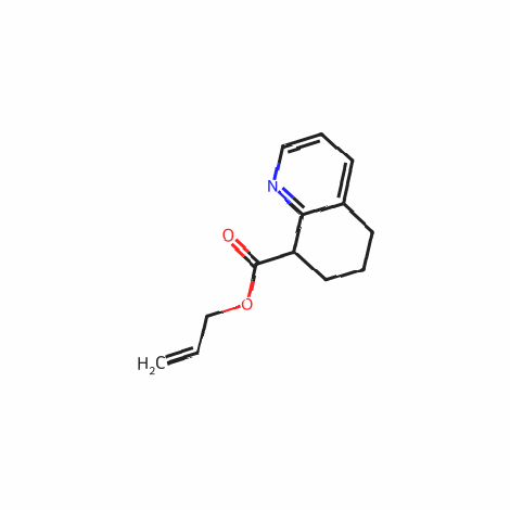 C=CCOC(=O)C1CCCc2cccnc21